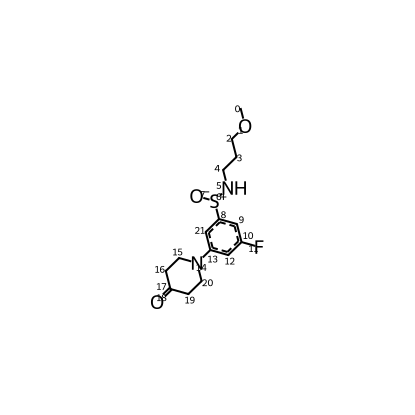 COCCCN[S+]([O-])c1cc(F)cc(N2CCC(=O)CC2)c1